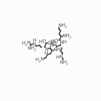 NCCCC(N)[C@H](O)N[C@H](CCCNCN)C(O)NC(CCCN)[C@H](O)N[C@H](CCCNC(N)N)C(O)O